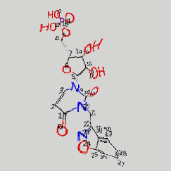 O=c1ccn([C@@H]2O[C@H](COP(=O)(O)O)C(O)C2O)c(=O)n1Cc1noc2ccccc12